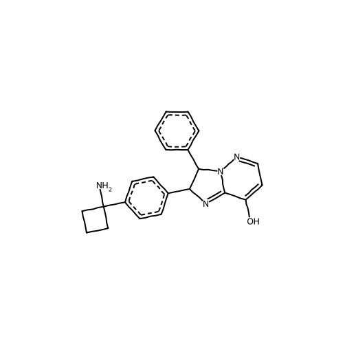 NC1(c2ccc(C3N=C4C(O)=CC=NN4C3c3ccccc3)cc2)CCC1